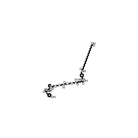 NC(=O)[C@H](Cc1ccc(O)cc1)NCC(=O)[C@@H]1CCCN1C(=O)COCCOCCNC(=O)COCCOCCNC(=O)CCC(NC(=O)C1CCC(CNC(=O)CCCCCCCCCCCCCCCCCCC(=O)O)CC1)C(=O)O